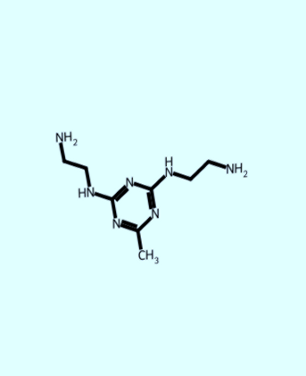 Cc1nc(NCCN)nc(NCCN)n1